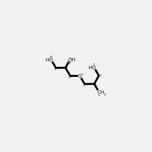 CC(CO)COCC(O)CO